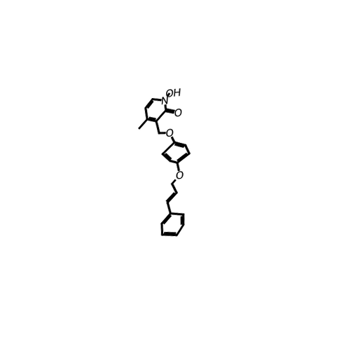 Cc1ccn(O)c(=O)c1COc1ccc(OCC=Cc2ccccc2)cc1